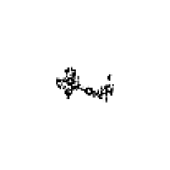 C=CCOC(=O)C(=O)C(NCC(C)NNc1ccc(COC(=O)Nc2cc(O[Si](C(C)C)(C(C)C)C(C)C)c(OC)cc2C(=O)N2C=C(C)C[C@H]2CO[Si](C)(C)C(C)(C)C)cc1)C(C)C